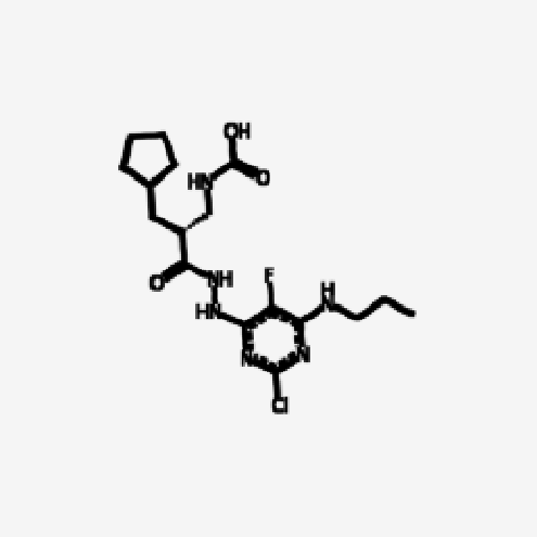 CCCNc1nc(Cl)nc(NNC(=O)[C@@H](CNC(=O)O)CC2CCCC2)c1F